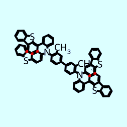 Cc1cc(-c2ccc(N(c3ccc4sc5ccccc5c4c3)c3ccccc3-c3cccc4c3sc3ccccc34)c(C)c2)ccc1N(c1ccc2sc3ccccc3c2c1)c1ccccc1-c1cccc2c1sc1ccccc12